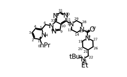 CCCc1cccc(Cn2ncc3c(N4CCN(C(=O)N5CCC(CN(CC)C(C)(C)C)CC5)CC4)ncnc32)n1